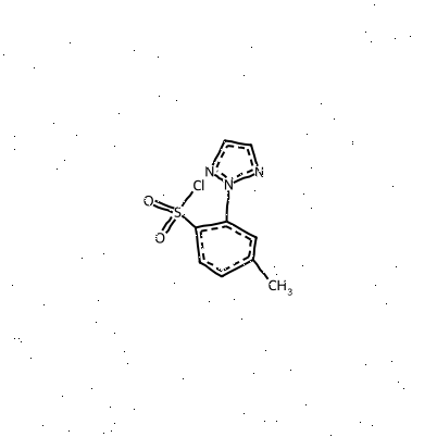 Cc1ccc(S(=O)(=O)Cl)c(-n2nccn2)c1